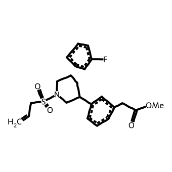 C=CCS(=O)(=O)N1CCCC(c2cccc(CC(=O)OC)c2)C1.Fc1ccccc1